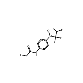 O=C(CF)Nc1ccc([S+]([O-])C(F)(F)C(F)F)cc1